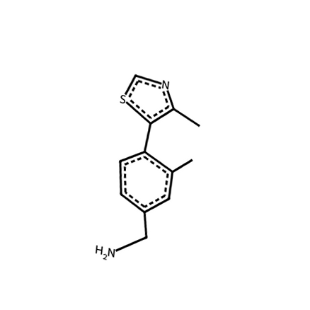 Cc1cc(CN)ccc1-c1scnc1C